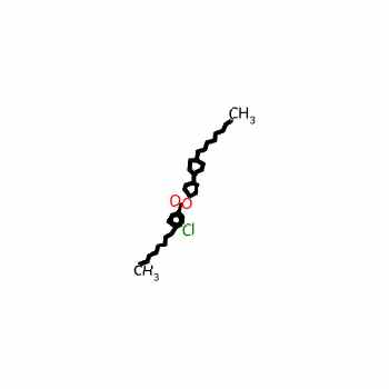 CCCCCCCCCc1ccc(C(=O)OC2CCC(C3CCC(CCCCCCCCC)CC3)CC2)cc1Cl